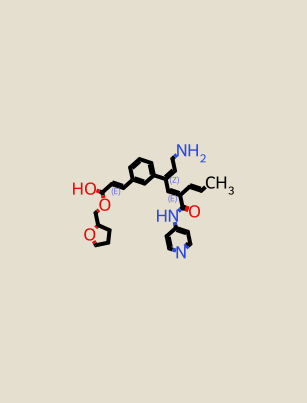 CC=C/C(=C\C(=C\CN)c1cccc(/C=C/C(O)OCC2CCCO2)c1)C(=O)Nc1ccncc1